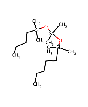 CCCCC[Si](C)(C)O[Si](C)(C)O[Si](C)(C)CCCC